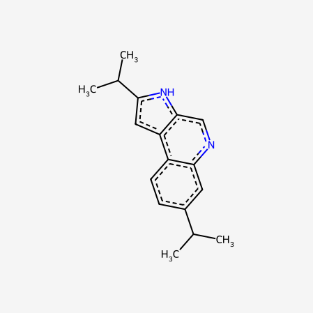 CC(C)c1ccc2c(c1)ncc1[nH]c(C(C)C)cc12